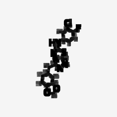 Fc1ccc(Nc2nn3c(Cc4ccc5c(c4)OCO5)nnc3s2)cc1Cl